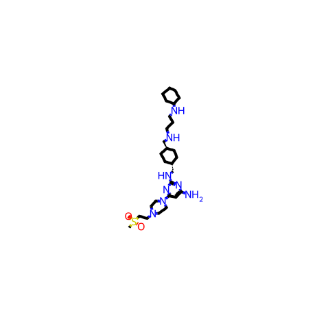 CS(=O)(=O)CCN1CCN(c2cc(N)nc(NC[C@H]3CC[C@H](CNCCCNC4CCCCC4)CC3)n2)CC1